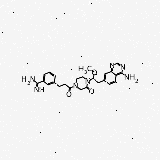 CO[C@@H](Cc1ccc2c(N)ncnc2c1)N1CCN(C(=O)CCc2cccc(C(=N)N)c2)CC1=O